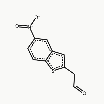 O=CCc1cc2cc([N+](=O)[O-])ccc2s1